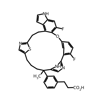 CC1(c2cccc(CCC(=O)O)c2)CCCc2cnc(s2)CCc2c(c(F)cc3[nH]ccc23)Oc2ccc(F)c(c2)-c2ncc1[nH]2